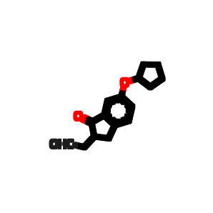 O=CCC1Cc2ccc(OC3CCCC3)cc2C1=O